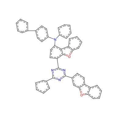 c1ccc(-c2ccc(N(c3ccccc3)c3ccc(-c4nc(-c5ccccc5)nc(-c5ccc6c(c5)oc5ccccc56)n4)c4oc5ccccc5c34)cc2)cc1